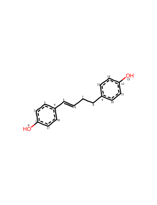 Oc1ccc(C=CCCc2ccc(O)cc2)cc1